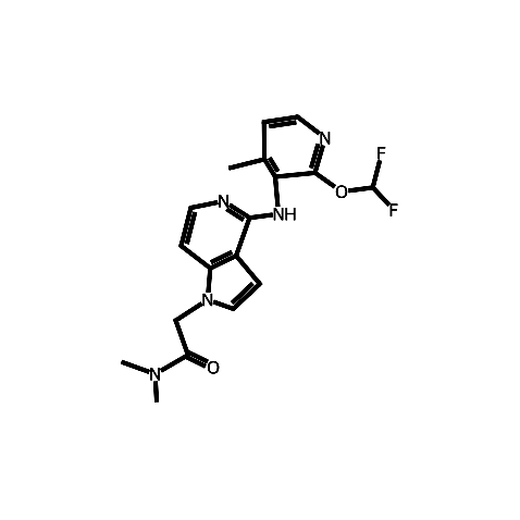 Cc1ccnc(OC(F)F)c1Nc1nccc2c1ccn2CC(=O)N(C)C